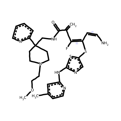 C=C(C(=O)NCC1(c2ccccn2)CCN(CCOC)CC1)/C(F)=C(\C=C/N)Sc1cnc(Nc2cc(C)ccn2)s1